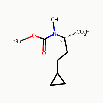 CN(C(=O)OC(C)(C)C)[C@@H](CCC1CC1)C(=O)O